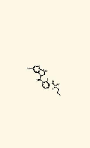 CCCS(=O)(=O)Nc1cccc(C(=O)C2CNc3ncc(Br)cc32)c1C